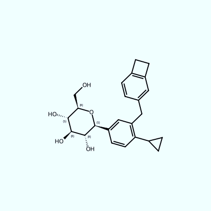 OC[C@H]1O[C@@H](c2ccc(C3CC3)c(Cc3ccc4c(c3)CC4)c2)[C@H](O)[C@@H](O)[C@@H]1O